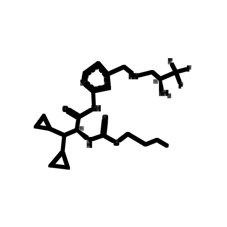 CCCCOC(=O)N[C@H](C(=O)Nc1cc(CNC[C@H](N)C(F)(F)F)ccn1)C(C1CC1)C1CC1